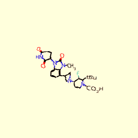 Cn1c(=O)n(C2CCC(=O)NC2=O)c2cccc(C3CN([C@@H]4CCN(C(=O)O)C(C(C)(C)C)[C@@H]4F)C3)c21